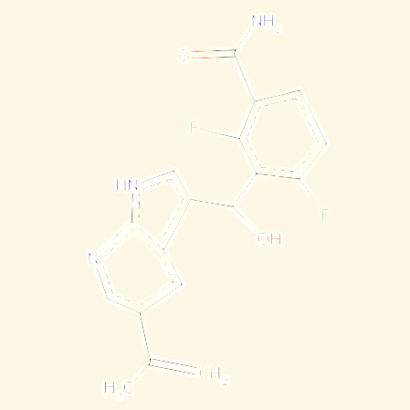 C=C(C)c1cnc2[nH]cc(C(O)c3c(F)ccc(C(N)=O)c3F)c2c1